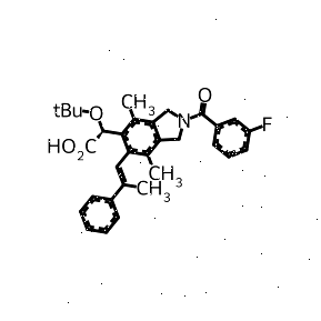 C/C(=C\c1c(C)c2c(c(C)c1[C@H](OC(C)(C)C)C(=O)O)CN(C(=O)c1cccc(F)c1)C2)c1ccccc1